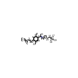 CCN(C)C=Nc1cc(C)c(/C(C)=N/OCC[Si](C)(C)C)cc1C